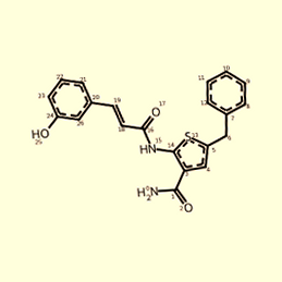 NC(=O)c1cc(Cc2ccccc2)sc1NC(=O)/C=C/c1cccc(O)c1